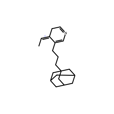 C/C=C1/CC=NC=C1CCCC12CC3CC(CC(C3)C1)C2